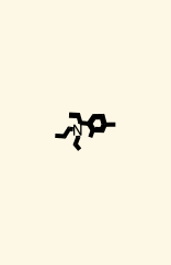 C=CC(c1ccc(C)cc1C)N(CCC)CCC